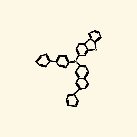 c1ccc(-c2ccc(N(c3ccc4ccc(-c5ccccc5)cc4c3)c3ccc4c(c3)sc3ccccc34)cc2)cc1